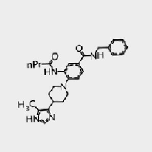 CCCC(=O)Nc1cc(C(=O)NCc2ccccc2)ccc1N1CCC(c2nc[nH]c2C)CC1